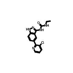 CCNC(=O)Nc1n[nH]c2ccc(-c3ncccc3Cl)cc12